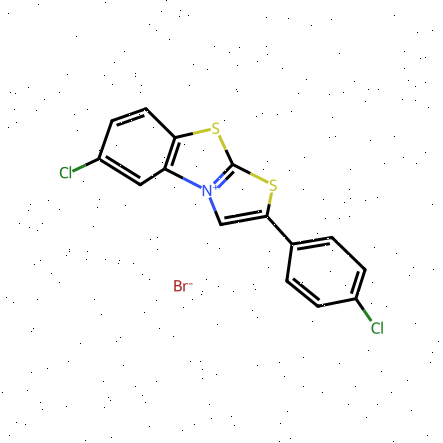 Clc1ccc(-c2c[n+]3c(s2)sc2ccc(Cl)cc23)cc1.[Br-]